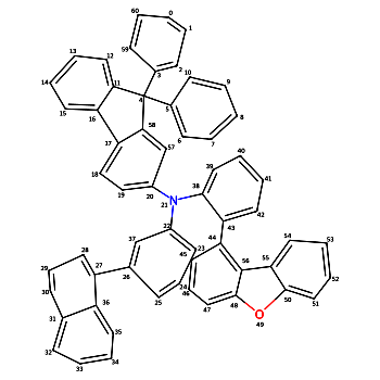 c1ccc(C2(c3ccccc3)c3ccccc3-c3ccc(N(c4cccc(-c5cccc6ccccc56)c4)c4ccccc4-c4cccc5oc6ccccc6c45)cc32)cc1